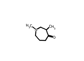 CC1CN(C)CCCC1=O